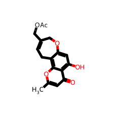 CC(=O)OCC1=CCc2c(cc(O)c3c(=O)cc(C)oc23)OC1